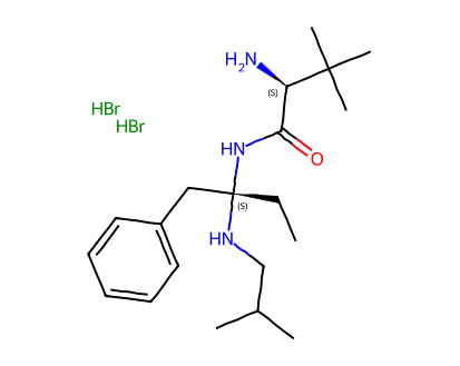 Br.Br.CC[C@](Cc1ccccc1)(NCC(C)C)NC(=O)[C@@H](N)C(C)(C)C